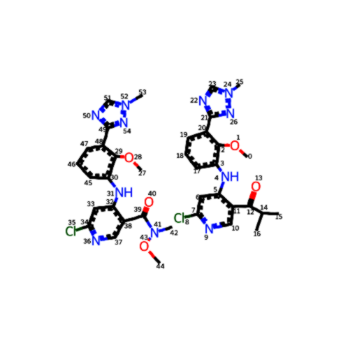 COc1c(Nc2cc(Cl)ncc2C(=O)C(C)C)cccc1-c1ncn(C)n1.COc1c(Nc2cc(Cl)ncc2C(=O)N(C)OC)cccc1-c1ncn(C)n1